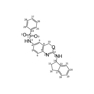 O=S(=O)(Nc1ccc2c(c1)COC(NC1CCc3ccccc31)=N2)c1ccccc1